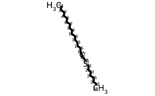 CCCCCCCCCCCCCCCCCCC[CH]SCCCCCCCC